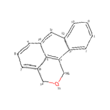 c1ccc2c3c4c(cccc4cc2c1)COC3